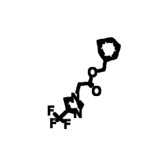 O=C(Cn1cnc(C(F)(F)F)c1)OCc1ccccc1